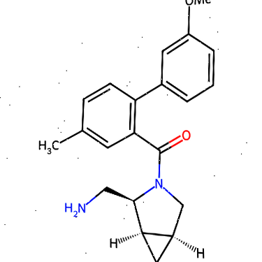 COc1cccc(-c2ccc(C)cc2C(=O)N2C[C@H]3C[C@H]3[C@H]2CN)c1